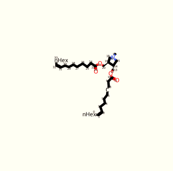 CCCCCC/C=C\CCCCCCCC(=O)OC[C@H]1CN(C)C[C@@H]1COC(=O)CCCCCCC/C=C\CCCCCC